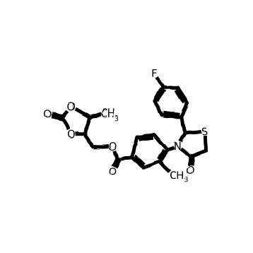 Cc1cc(C(=O)OCC2OC(=O)OC2C)ccc1N1C(=O)CSC1c1ccc(F)cc1